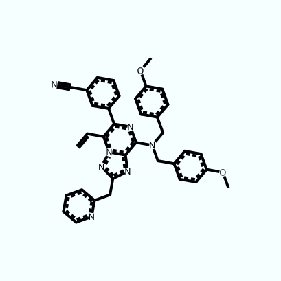 C=Cc1c(-c2cccc(C#N)c2)nc(N(Cc2ccc(OC)cc2)Cc2ccc(OC)cc2)c2nc(Cc3ccccn3)nn12